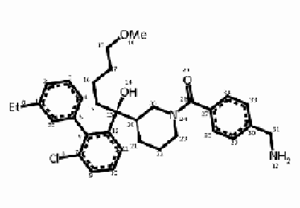 CCc1cccc(-c2c(Cl)cccc2[C@](O)(CCCCOC)[C@@H]2CCCN(C(=O)c3ccc(CN)cc3)C2)c1